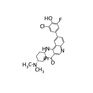 CC(C)C(=O)c1cnc2ccc(-c3cc(F)c(O)c(Cl)c3)cc2c1N[C@H]1CC[C@H](N(C)C)CC1